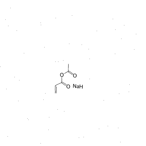 C=CC(=O)OC(C)=O.[NaH]